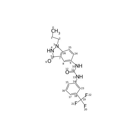 CCCn1[nH]c(=O)c2cc(NC(=O)Nc3cccc(C(F)(F)F)c3)ccc21